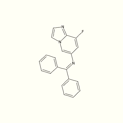 Fc1cc(N=C(c2ccccc2)c2ccccc2)cn2ccnc12